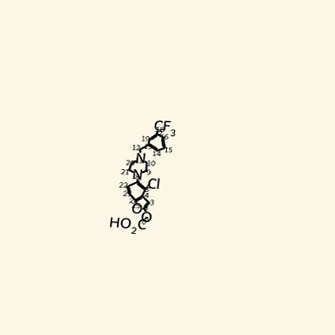 O=C(O)Oc1cc2c(Cl)c(N3CCN(Cc4cccc(C(F)(F)F)c4)CC3)ccc2o1